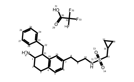 NC1CCc2ccc(CCCNS(=O)(=O)CC3CC3)cc2C1Cc1ccccc1.O=C(O)C(F)(F)F